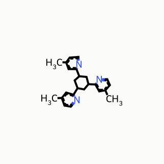 Cc1ccnc(C2CC(c3cc(C)ccn3)CC(c3cc(C)ccn3)C2)c1